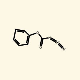 [N-]=[N+]=NC(=O)Oc1ccccc1